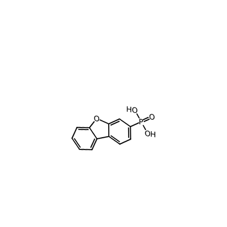 O=P(O)(O)c1ccc2c(c1)oc1ccccc12